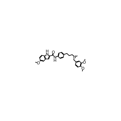 COc1ccc2[nH]c(C(=O)Nc3ccc(CCCN(C)Cc4ccc(OC)c(OC)c4)cc3)cc2c1